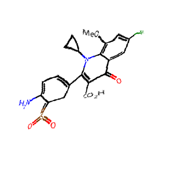 COc1cc(F)cc2c(=O)c(C(=O)O)c(C3=CC=C(N)C(=S(=O)=O)C3)n(C3CC3)c12